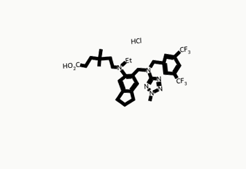 CCN(CCC(C)(C)CCC(=O)O)c1cc2c(cc1CN(Cc1cc(C(F)(F)F)cc(C(F)(F)F)c1)c1nnn(C)n1)CCC2.Cl